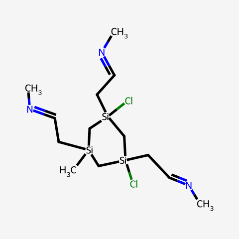 CN=CC[Si]1(C)C[Si](Cl)(CC=NC)C[Si](Cl)(CC=NC)C1